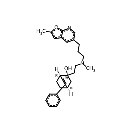 Cc1cc2cc(CCCN(C)CC[C@]3(O)C[C@H]4CC[C@@H]3C=C4c3ccccc3)cnc2o1